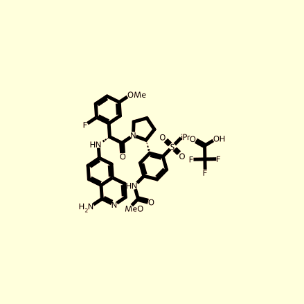 COC(=O)Nc1ccc(S(=O)(=O)C(C)C)c([C@H]2CCCN2C(=O)[C@H](Nc2ccc3c(N)nccc3c2)c2cc(OC)ccc2F)c1.O=C(O)C(F)(F)F